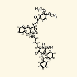 COc1ccc(C(=O)CCC(=O)N2Cc3ccccc3CC2C(=O)NCCCCC(NC(=O)O)C(=O)NCC(c2ccccc2)c2ccccc2)cc1OC